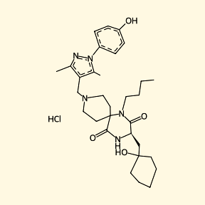 CCCCN1C(=O)[C@@H](CC2(O)CCCCC2)NC(=O)C12CCN(Cc1c(C)nn(-c3ccc(O)cc3)c1C)CC2.Cl